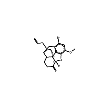 C=CCN1CC[C@@]23c4c5c(Br)cc(OC)c4O[C@@H]2C(=O)CCC3C1C5